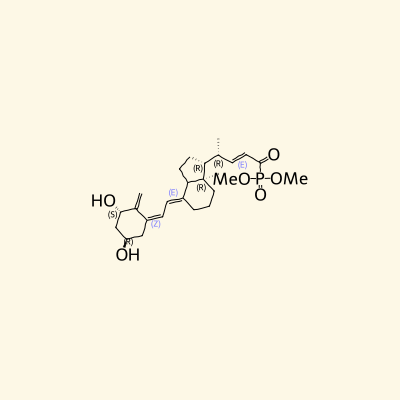 C=C1/C(=C\C=C2/CCC[C@@]3(C)C2CC[C@@H]3[C@H](C)/C=C/C(=O)P(=O)(OC)OC)C[C@@H](O)C[C@@H]1O